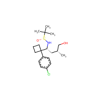 C[C@@H](CO)C[C@@H](N[S@+]([O-])C(C)(C)C)C1(c2ccc(Cl)cc2)CCC1